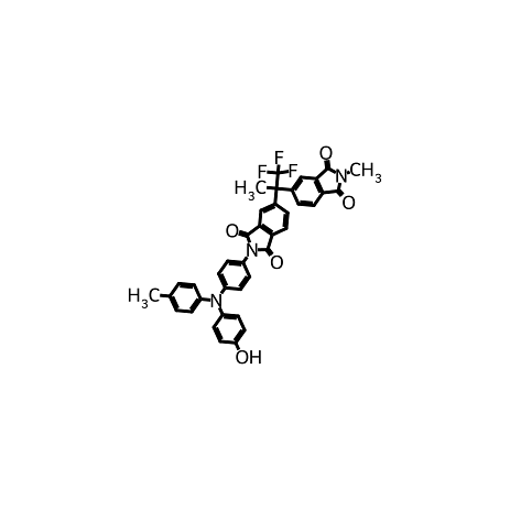 Cc1ccc(N(c2ccc(O)cc2)c2ccc(N3C(=O)c4ccc(C(C)(c5ccc6c(c5)C(=O)N(C)C6=O)C(F)(F)F)cc4C3=O)cc2)cc1